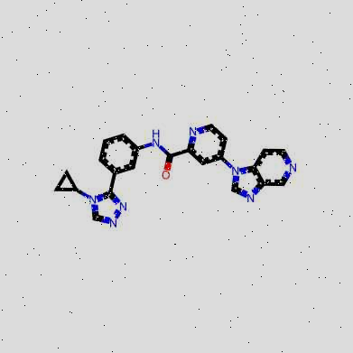 O=C(Nc1cccc(-c2nncn2C2CC2)c1)c1cc(-n2cnc3cnccc32)ccn1